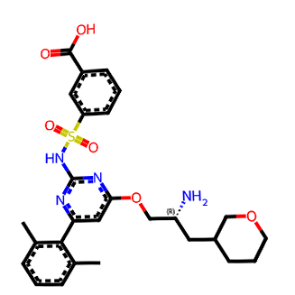 Cc1cccc(C)c1-c1cc(OC[C@H](N)CC2CCCOC2)nc(NS(=O)(=O)c2cccc(C(=O)O)c2)n1